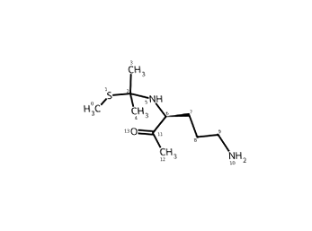 CSC(C)(C)N[C@@H](CCCN)C(C)=O